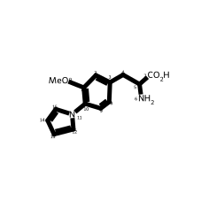 COc1cc(CC(N)C(=O)O)ccc1-n1cccc1